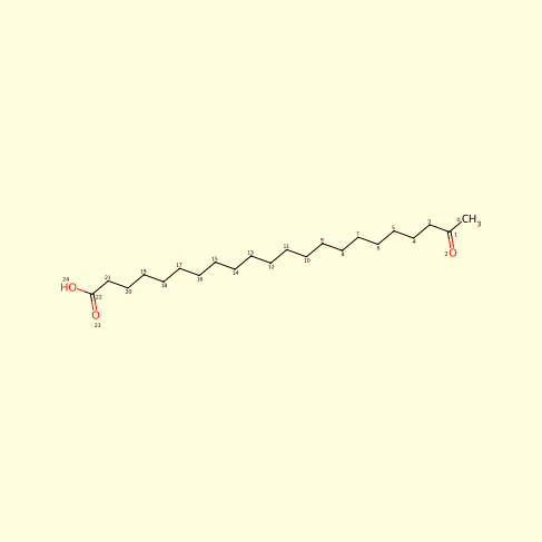 CC(=O)CCCCCCCCCCCCCCCCCCCC(=O)O